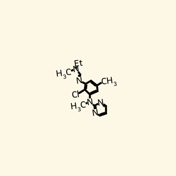 CCN(C)C=Nc1cc(C)cc(N(C)c2ncccn2)c1Cl